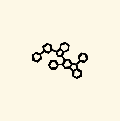 c1cccc(-c2cc3c4ccccc4n(-c4ccccc4)c3cc2-c2sc(-c3cccc(-c4ccccc4)c3)c3c2CCC=C3)c#1